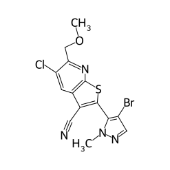 COCc1nc2sc(-c3c(Br)cnn3C)c(C#N)c2cc1Cl